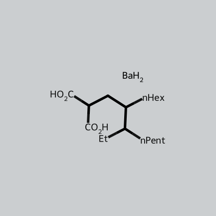 CCCCCCC(CC(C(=O)O)C(=O)O)C(CC)CCCCC.[BaH2]